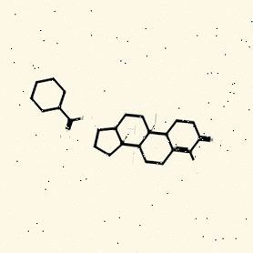 C[C@]12CC[C@H]3[C@@H](CCC4=C(Cl)C(=O)CC[C@@]43C)[C@@H]1CC[C@@H]2OC(=O)C1CCCCC1